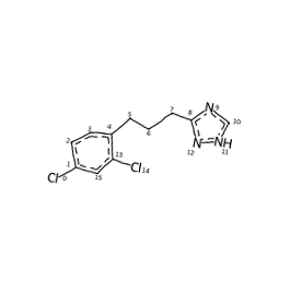 Clc1ccc(CCCc2nc[nH]n2)c(Cl)c1